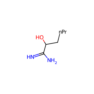 CCCCC(O)C(=N)N